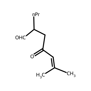 CCCC(C=O)CC(=O)C=C(C)C